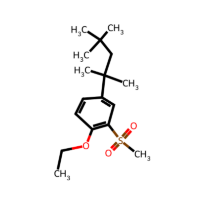 CCOc1ccc(C(C)(C)CC(C)(C)C)cc1S(C)(=O)=O